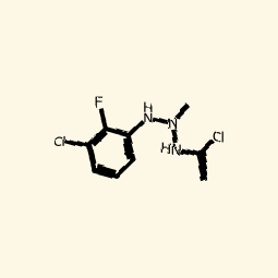 C=C(Cl)NN(C)Nc1cccc(Cl)c1F